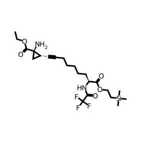 CCOC(=O)[C@@]1(N)C[C@H]1C#CCCCCC[C@H](NC(=O)C(F)(F)F)C(=O)OCC[Si](C)(C)C